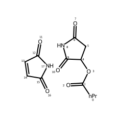 CCCC(=O)OC1CC(=O)NC1=O.O=C1C=CC(=O)N1